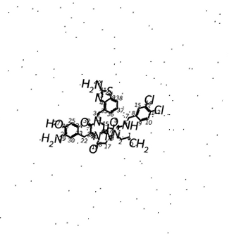 C=CCN(C(=O)NCc1ccc(Cl)c(Cl)c1)N1CC(=O)N2[C@@H](Cc3ccc(O)c(N)c3)C(=O)N(Cc3cccc4sc(N)nc34)C[C@@H]21